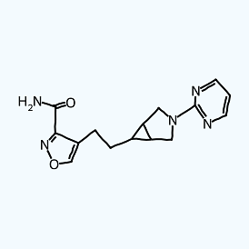 NC(=O)c1nocc1CCC1C2CN(c3ncccn3)CC12